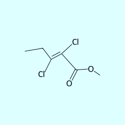 CCC(Cl)=C(Cl)C(=O)OC